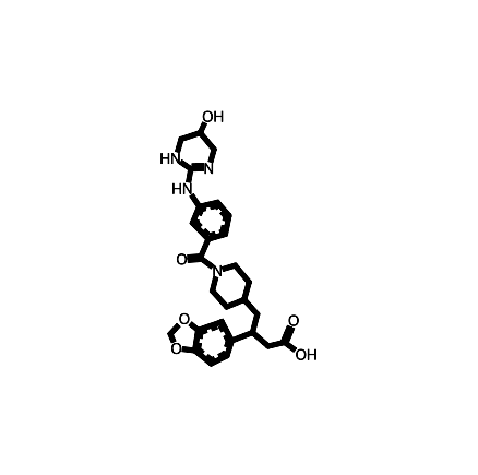 O=C(O)CC(CC1CCN(C(=O)c2cccc(NC3=NCC(O)CN3)c2)CC1)c1ccc2c(c1)OCO2